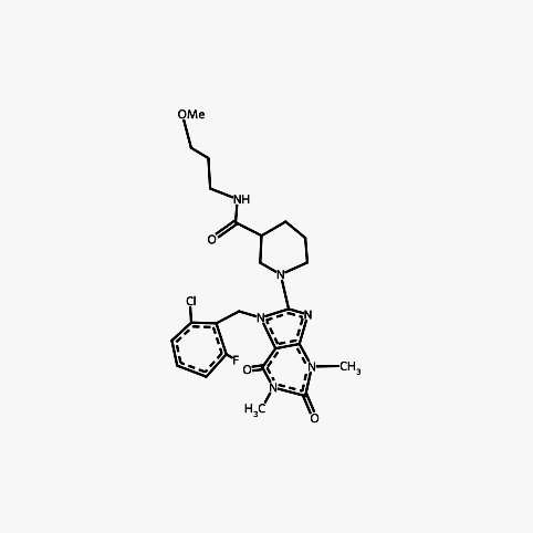 COCCCNC(=O)C1CCCN(c2nc3c(c(=O)n(C)c(=O)n3C)n2Cc2c(F)cccc2Cl)C1